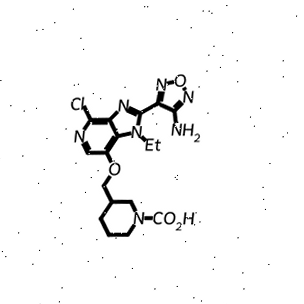 CCn1c(-c2nonc2N)nc2c(Cl)ncc(OCC3CCCN(C(=O)O)C3)c21